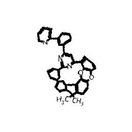 CC1(C)c2ccccc2-c2c1ccc1c2Oc2c(cccc2-c2cc(-c3cccc(-c4ccccn4)c3)nc(-c3ccccc3)n2)O1